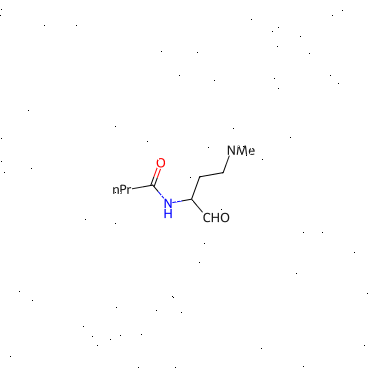 CCCC(=O)NC(C=O)CCNC